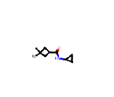 CCC1(C)CC(C(=O)NC2CC2)C1